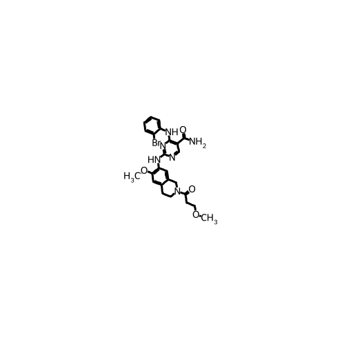 COCCC(=O)N1CCc2cc(OC)c(Nc3ncc(C(N)=O)c(Nc4ccccc4Br)n3)cc2C1